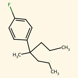 CCCC(C)(CCC)c1ccc(F)cc1